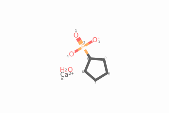 O.O=P([O-])([O-])C1CCCC1.[Ca+2]